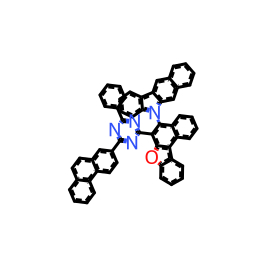 c1ccc(-c2nc(-c3ccc4c(ccc5ccccc54)c3)nc(-c3c(-n4c5ccccc5c5cc6ccccc6cc54)c4ccccc4c4c3oc3ccccc34)n2)cc1